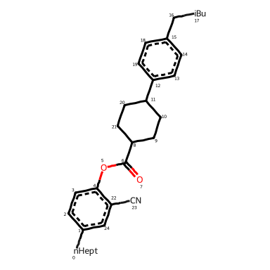 CCCCCCCc1ccc(OC(=O)C2CCC(c3ccc(CC(C)CC)cc3)CC2)c(C#N)c1